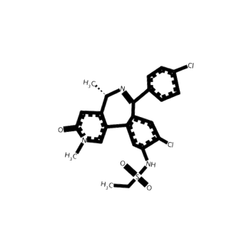 CCS(=O)(=O)Nc1cc2c(cc1Cl)C(c1ccc(Cl)cc1)=N[C@@H](C)c1cc(=O)n(C)cc1-2